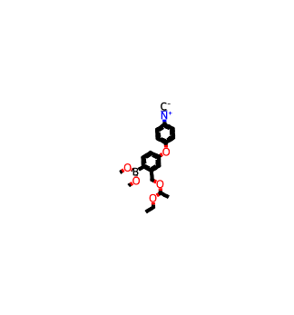 [C-]#[N+]c1ccc(Oc2ccc(B(OC)OC)c(COC(C)OCC)c2)cc1